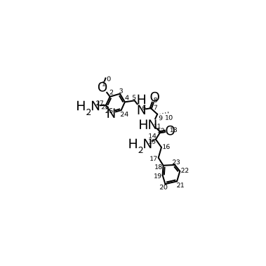 COc1cc(CNC(=O)[C@H](C)NC(=O)[C@H](N)CCc2ccccc2)cnc1N